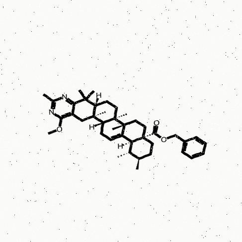 COc1nc(C)nc2c1C[C@]1(C)[C@H]3CC=C4[C@@H]5[C@@H](C)[C@H](C)CC[C@]5(C(=O)OCc5ccccc5)CC[C@@]4(C)[C@]3(C)CC[C@H]1C2(C)C